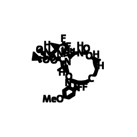 COc1ccc2nc3c(nc2c1)O[C@H]1CN(C(=O)[C@H](C(C)(C)C)NC(=O)O[C@@H]2C[C@H]2CCCCC3(F)F)[C@H](C(=O)N[C@]2(C(=O)NS(=O)(=O)C3(C)CC3)C[C@H]2C(F)F)[C@@H]1C